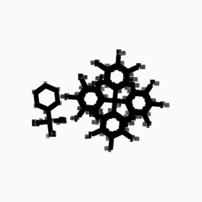 CC[N+](CC)(CC)C1CCCCC1.Fc1c(F)c(F)c([B-](c2c(F)c(F)c(F)c(F)c2F)(c2c(F)c(F)c(F)c(F)c2F)c2c(F)c(F)c(F)c(F)c2F)c(F)c1F